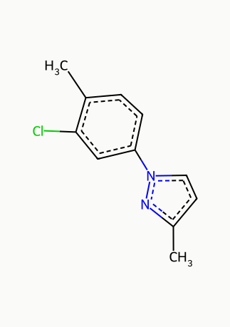 Cc1ccn(-c2ccc(C)c(Cl)c2)n1